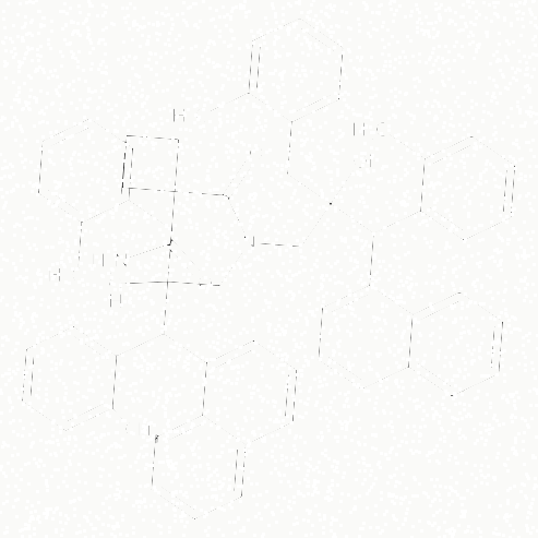 Cc1ccccc1CC(O)(CN(CC(O)(Cc1ccccc1C)C(c1ccccc1C)c1cccc2ccccc12)C(=O)C1(C(N)=O)CCC1)C(c1ccccc1C)c1cccc2ccccc12